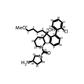 COCCCCC(O)(c1ccccc1-c1ccccc1Cl)C1CCCN(C(=O)N2CCC(N)C2)C1